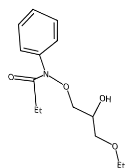 [CH2]CC(=O)N(OCC(O)COCC)c1ccccc1